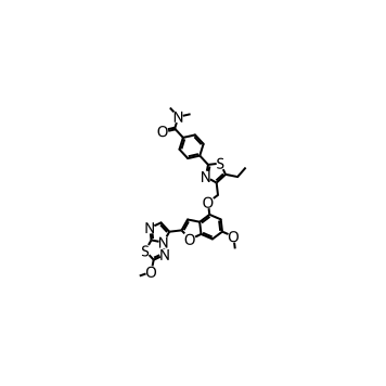 CCc1sc(-c2ccc(C(=O)N(C)C)cc2)nc1COc1cc(OC)cc2oc(-c3cnc4sc(OC)nn34)cc12